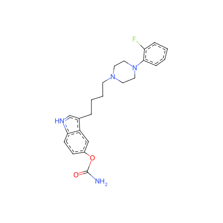 NC(=O)Oc1ccc2[nH]cc(CCCCN3CCN(c4ccccc4F)CC3)c2c1